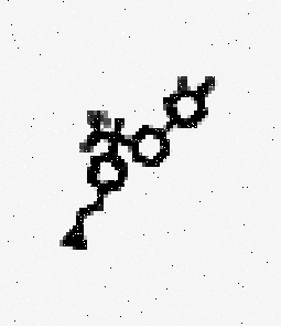 CC(C(N)=O)(c1ccc(OCC2CC2)cn1)N1CCC[C@@H](c2ccc(=O)[nH]n2)C1